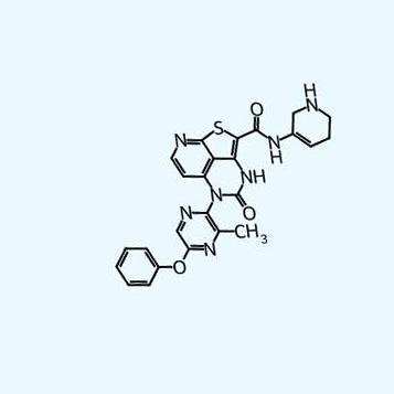 Cc1nc(Oc2ccccc2)cnc1N1C(=O)Nc2c(C(=O)NC3=CCCNC3)sc3nccc1c23